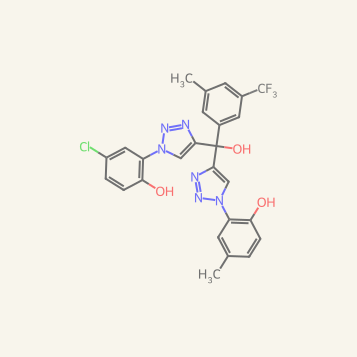 Cc1cc(C(F)(F)F)cc(C(O)(c2cn(-c3cc(C)ccc3O)nn2)c2cn(-c3cc(Cl)ccc3O)nn2)c1